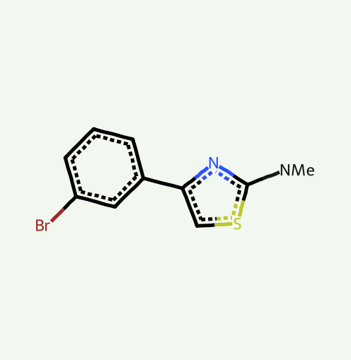 CNc1nc(-c2cccc(Br)c2)cs1